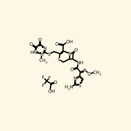 CON=C(C(=O)NC1C(=O)N2C(C(=O)O)=C(CSc3nc(=O)c(=O)[nH]n3C)SCC12)c1csc(N)n1.O=C(O)C(F)(F)F